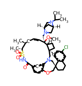 CO[C@]1(CN2C[C@H]3C[C@@H]2CN3C(C)C)/C=C/C[C@H](C)[C@@H](C)S(=O)(=O)NC(=O)c2ccc3c(c2)N(C[C@@H]2CC[C@H]21)C[C@@]1(CCCc2cc(Cl)ccc21)CO3